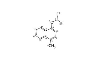 Cc1ccc(OC(F)F)c2ccccc12